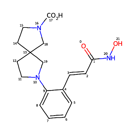 O=C(/C=C/c1ccccc1N1CCC2(CCN(C(=O)O)C2)C1)NO